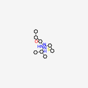 c1ccc(-c2cc(-c3ccccc3)cc(C3NC(c4cccc5c4sc4ccccc45)=NC(c4ccc5c(c4)oc4ccc(-c6ccccc6)cc45)N3)c2)cc1